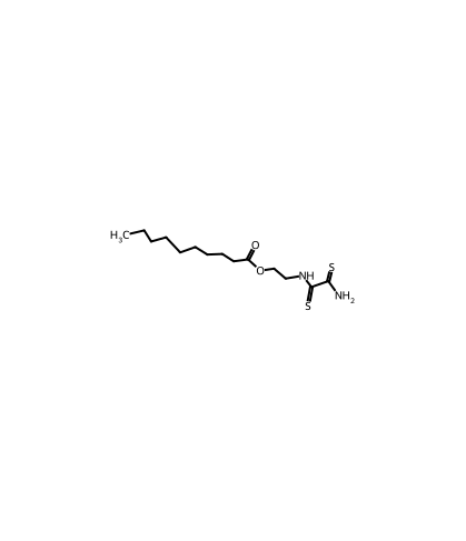 CCCCCCCCCC(=O)OCCNC(=S)C(N)=S